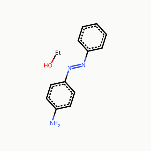 CCO.Nc1ccc(N=Nc2ccccc2)cc1